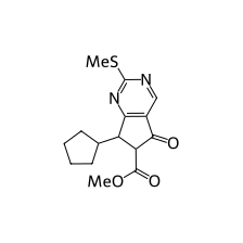 COC(=O)C1C(=O)c2cnc(SC)nc2C1C1CCCC1